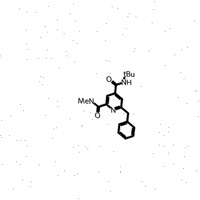 CNC(=O)c1cc(C(=O)NC(C)(C)C)cc(Cc2ccccc2)n1